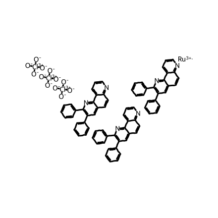 [O-][Cl+3]([O-])([O-])[O-].[O-][Cl+3]([O-])([O-])[O-].[O-][Cl+3]([O-])([O-])[O-].[Ru+3].c1ccc(-c2cc3ccc4ncccc4c3nc2-c2ccccc2)cc1.c1ccc(-c2cc3ccc4ncccc4c3nc2-c2ccccc2)cc1.c1ccc(-c2cc3ccc4ncccc4c3nc2-c2ccccc2)cc1